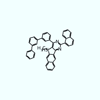 C[SiH]1c2cc3ccccc3cc2-c2nc(-c3cccc4ccccc34)nc(-c3cccc(-c4cccc(-c5ccccc5)c4)c3)c21